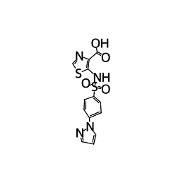 O=C(O)c1ncsc1NS(=O)(=O)c1ccc(-n2cccn2)cc1